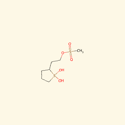 CS(=O)(=O)OCCC1CCCS1(O)O